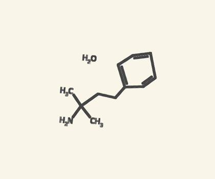 CC(C)(N)CCc1ccccc1.O